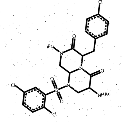 CC(=O)NC1CN(S(=O)(=O)c2cc(Cl)ccc2Cl)C2CN(C(C)C)C(=O)C(Cc3ccc(Cl)cc3)N2C1=O